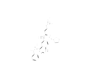 CCN(CC)CC=CC(=O)Nc1cc2c(NC(C)c3ccccc3)ncnc2cc1OC1CCCC1